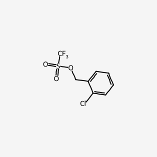 O=S(=O)(OCc1ccccc1Cl)C(F)(F)F